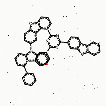 c1ccc(-c2nc(-c3ccc4c(c3)sc3ccccc34)nc(-c3cccc4oc5ccc(-n6c7ccccc7c7c(-c8ccccc8)cccc76)cc5c34)n2)cc1